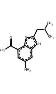 CN(C)Cc1nc2c(C(=O)O)cc(N)cc2[nH]1